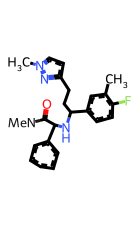 CNC(=O)C(NC(CCc1ccn(C)n1)c1ccc(F)c(C)c1)c1ccccc1